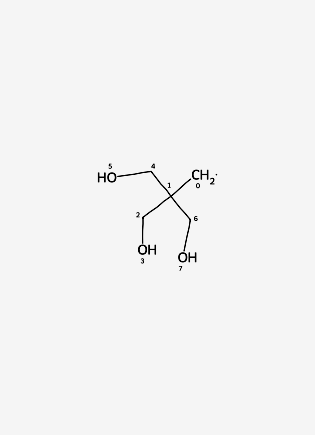 [CH2]C(CO)(CO)CO